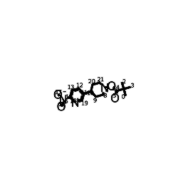 CC(C)(C)C(=O)ON1CCC(c2ccc([N+](=O)[O-])nc2)CC1